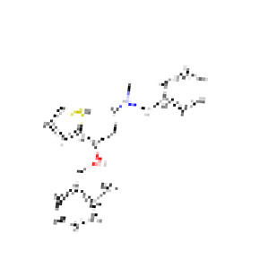 CN(CCC(OCc1ccccc1C#N)c1cccs1)Cc1ccccc1